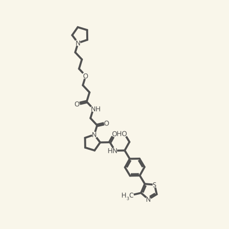 Cc1ncsc1-c1ccc(C(CO)NC(=O)C2CCCN2C(=O)CNC(=O)CCOCCCN2CCCC2)cc1